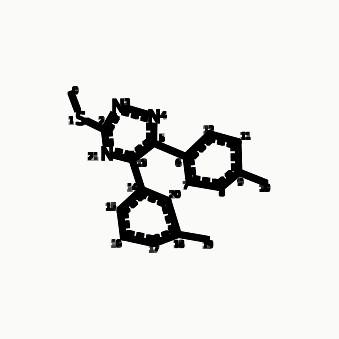 CSc1nnc(-c2ccc(C)cc2)c(-c2cccc(C)c2)n1